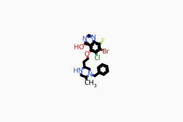 CC1CNC(CCOc2c(Cl)c(Br)c(F)c3ncnc(O)c23)CN1Cc1ccccc1